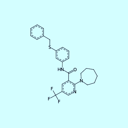 O=C(Nc1cccc(SCc2ccccc2)c1)c1cc(C(F)(F)F)cnc1N1CCCCCC1